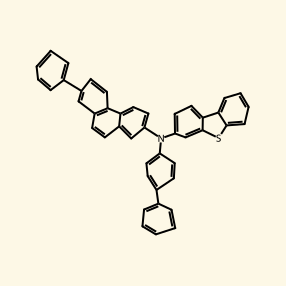 c1ccc(-c2ccc(N(c3ccc4c(ccc5cc(-c6ccccc6)ccc54)c3)c3ccc4c(c3)sc3ccccc34)cc2)cc1